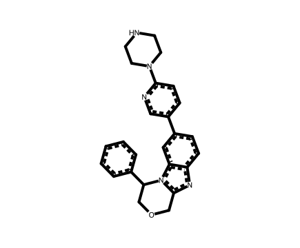 c1ccc(C2COCc3nc4ccc(-c5ccc(N6CCNCC6)nc5)cc4n32)cc1